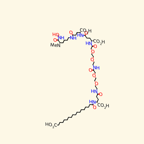 CN[C@@H](CCCCNC(=O)CC[C@H](NC(=O)CC[C@H](NC(=O)COCCOCCNC(=O)COCCOCCNC(=O)CC[C@H](NC(=O)CCCCCCCCCCCCCCCCC(=O)O)C(=O)O)C(=O)O)C(=O)O)C(=O)NO